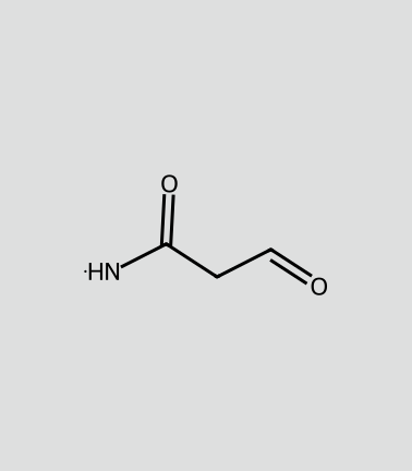 [NH]C(=O)CC=O